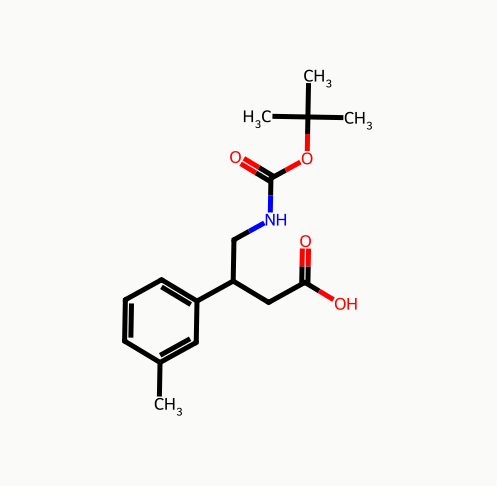 Cc1cccc(C(CNC(=O)OC(C)(C)C)CC(=O)O)c1